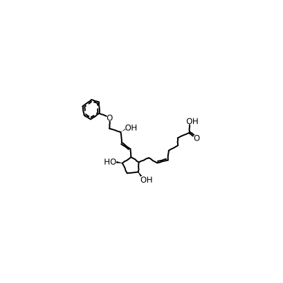 O=C(O)CCC/C=C\CC1C(/C=C/[C@@H](O)COc2ccccc2)[C@H](O)C[C@@H]1O